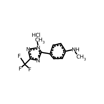 CNc1ccc(-c2nc(C(F)(F)F)nn2C)cc1.Cl